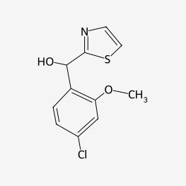 COc1cc(Cl)ccc1C(O)c1nccs1